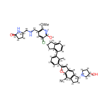 COc1nc(O[C@H]2CCc3c(-c4cccc(-c5cc6cc7c(c(C#N)c6o5)CC[C@H]7N5CC[C@@H](O)C5)c4C)cccc32)c(Cl)cc1CNC[C@H]1CCC(=O)N1